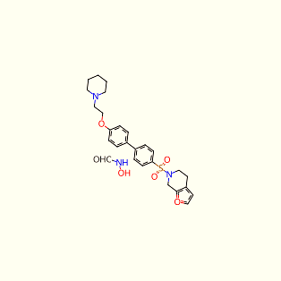 O=CNO.O=S(=O)(c1ccc(-c2ccc(OCCN3CCCCC3)cc2)cc1)N1CCc2ccoc2C1